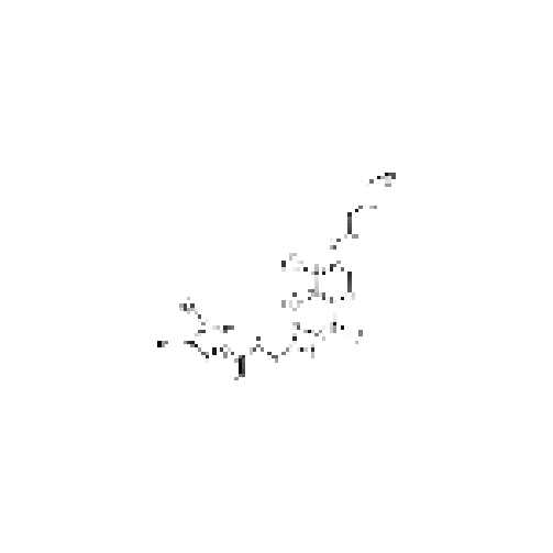 Cc1cc(C(=O)NCC2CN(C(C)c3ccc(OCCCCO)c(C)c3C)C2)oc1C